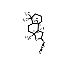 CC1(C)CCC[C@@]2(C)C1CC[C@@]1(C)OC(N=[N+]=[N-])C[C@@H]12